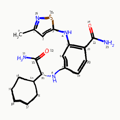 Cc1cc(Nc2cc(N[C@@H](C(N)=O)C3CCCCC3)ccc2C(N)=O)sn1